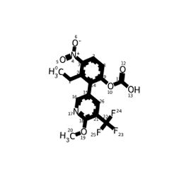 CCc1c([N+](=O)[O-])ccc(OC(=O)O)c1-c1cnc(OC)c(C(F)(F)F)c1